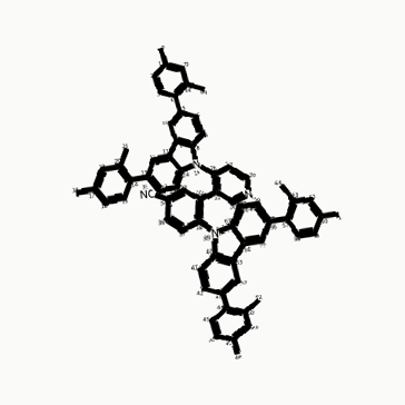 Cc1ccc(-c2ccc3c(c2)c2cc(-c4ccc(C)cc4C)ccc2n3-c2ccncc2-c2cc(C#N)ccc2-n2c3ccc(-c4ccc(C)cc4C)cc3c3cc(-c4ccc(C)cc4C)ccc32)c(C)c1